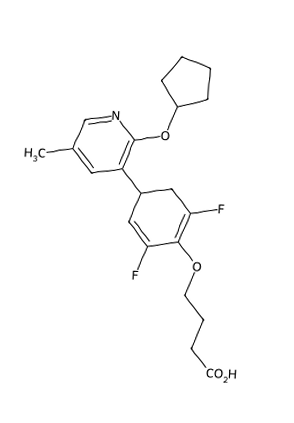 Cc1cnc(OC2CCCC2)c(C2C=C(F)C(OCCCC(=O)O)=C(F)C2)c1